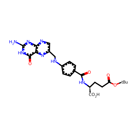 CC(C)(C)OC(=O)CC[C@H](NC(=O)c1ccc(NCc2cnc3nc(N)[nH]c(=O)c3n2)cc1)C(=O)O